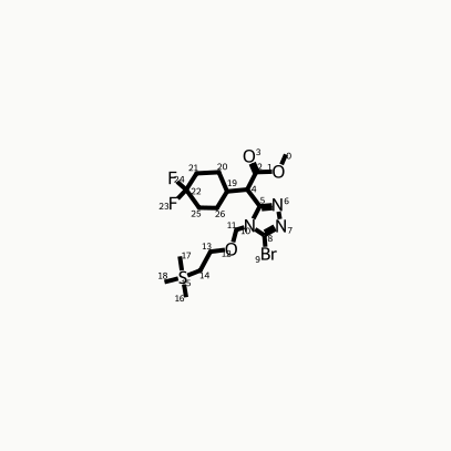 COC(=O)C(c1nnc(Br)n1COCCS(C)(C)C)C1CCC(F)(F)CC1